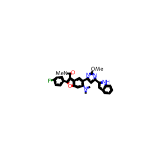 CNC(=O)c1c(-c2ccc(F)cc2)oc2cc(N(C)C)c(-c3cc(-c4cc5ccccc5[nH]4)nc(OC)n3)cc12